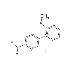 CSc1cccc[n+]1-c1ccc(C(F)F)nc1.[I-]